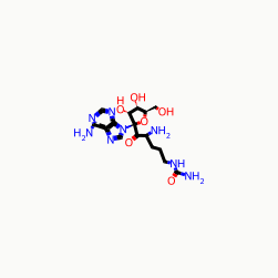 NC(=O)NCCCC(N)C(=O)[C@@]1(n2cnc3c(N)ncnc32)O[C@H](CO)[C@@H](O)[C@H]1O